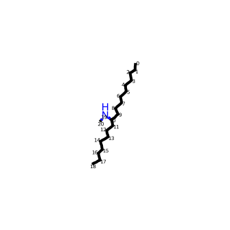 CCCCCCCCCCC(CCCCCCCC)NC